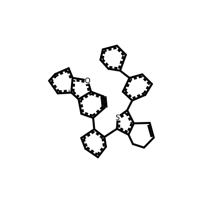 c1c(-c2ccccc2-c2sc(-c3cccc(-c4ccccc4)c3)c3c2CCC=C3)cc2c(c#1)oc1ccccc12